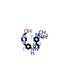 Cc1nc2c(F)cc(-c3nc(Nc4ccc(CN5CCN(CCO)CC5)c(F)c4)ncc3F)cc2n1C(C)C